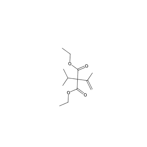 C=C(C)C(C(=O)OCC)(C(=O)OCC)C(C)C